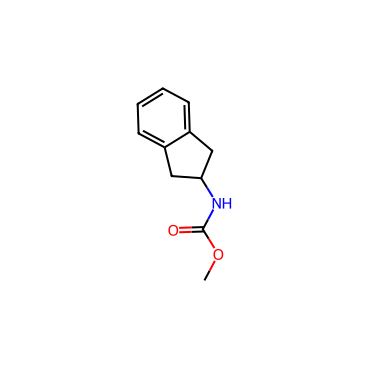 COC(=O)NC1Cc2ccccc2C1